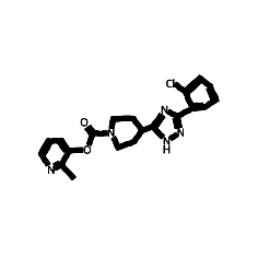 Cc1ncccc1OC(=O)N1CCC(c2nc(-c3ccccc3Cl)n[nH]2)CC1